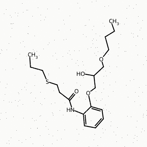 CCCCOCC(O)COc1ccccc1NC(=O)CCSCCC